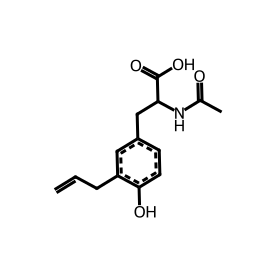 C=CCc1cc(CC(NC(C)=O)C(=O)O)ccc1O